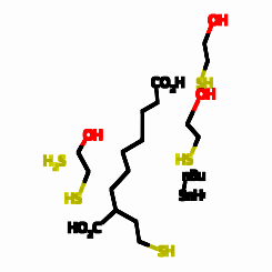 CCC[CH2][SnH].O=C(O)CCCCCCC(CCS)C(=O)O.OCCS.OCCS.OCCS.S